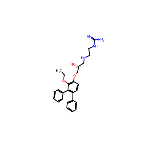 CCOc1c(OC[C@H](O)CNCCNC(=N)N)ccc(-c2ccccc2)c1-c1ccccc1